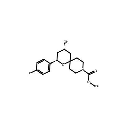 CC(C)(C)OC(=O)N1CCC2(CC1)C[C@@H](O)C[C@H](c1ccc(F)cc1)O2